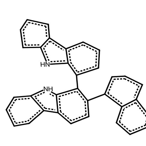 c1ccc2c(-c3ccc4c([nH]c5ccccc54)c3-c3cccc4c3[nH]c3ccccc34)cccc2c1